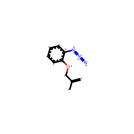 C=C(C)COc1ccccc1N=[N+]=[N-]